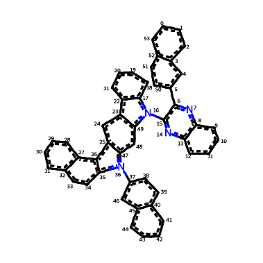 c1ccc2cc(-c3nc4ccccc4nc3-n3c4ccccc4c4cc5c6c7ccccc7ccc6n(-c6ccc7ccccc7c6)c5cc43)ccc2c1